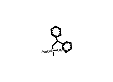 CO[Si](C)(CC(c1ccccc1)c1ccccc1)OC